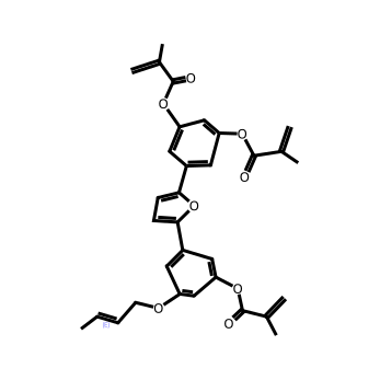 C=C(C)C(=O)Oc1cc(OC/C=C/C)cc(-c2ccc(-c3cc(OC(=O)C(=C)C)cc(OC(=O)C(=C)C)c3)o2)c1